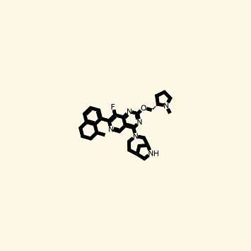 CC1CCCc2cccc(-c3ncc4c(N5CCC6CNC(C6)C5)nc(OC[C@@H]5CCCN5C)nc4c3F)c21